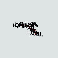 COC(=O)N[C@H](C(=O)N1CCC[C@H]1c1ncc(-c2ccc3c(c2)OCC(C)(C)COc2cc(-c4[nH]c([C@@H]5CCCN5C(=O)[C@@H](NC(=O)OC)C(C)C)nc4Cl)ccc2-3)[nH]1)C(C)C